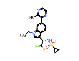 CC(C)(C)Cn1cc([C@H](NS(=O)(=O)C2CC2)C(F)F)c2ccc(-c3nccnc3C#N)cc21